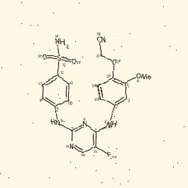 COc1cc(Nc2nc(Nc3ccc(S(N)(=O)=O)cc3)ncc2F)ccc1OCC#N